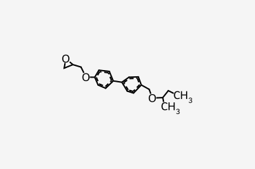 CCC(C)OCc1ccc(-c2ccc(OCC3CO3)cc2)cc1